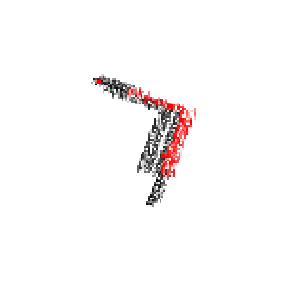 O=S(=O)(O)O.O=S(=O)(O)O.O=S(=O)(O)O.O=S(=O)(O)O.O=S(=O)(O)O.O=S(=O)(O)O.O=S(=O)(O)O.O=S(=O)(O)O.O=S(=O)(O)O.O=S(=O)(O)O.O=S(=O)(O)O.O=S(=O)(O)O.O=S(=O)(O)O.O=S(=O)(O)O.O=S(=O)(O)O.O=S(=O)(O)O.O=S(=O)(O)O.O=S(=O)(O)O.O=S(=O)(O)O.O=S(=O)(O)O.O=S(=O)(O)O.O=S(=O)(O)O.O=S(=O)(O)O.[Al+3].[Al+3].[Al+3].[Al+3].[Al+3].[Al+3].[Al+3].[Al+3].[Al+3].[Al+3].[Al+3].[Al+3].[Al+3].[Al+3].[Al+3].[Al+3].[Al+3]